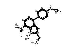 [CH2]Cc1cc2c(-c3ccc(OC)cc3)ccc([N+](=O)[O-])c2n1C